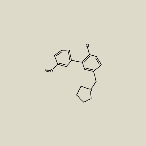 COc1cccc(-c2cc(CN3CCCC3)ccc2Cl)c1